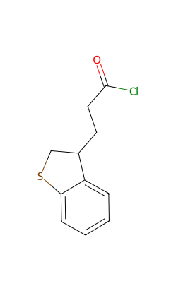 O=C(Cl)CCC1CSc2ccccc21